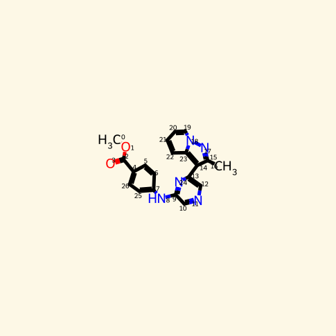 COC(=O)c1ccc(Nc2cncc(-c3c(C)nn4ccccc34)n2)cc1